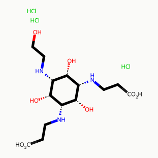 Cl.Cl.Cl.O=C(O)CCN[C@@H]1[C@H](O)[C@H](NCCC(=O)O)[C@H](O)[C@H](NCCO)[C@@H]1O